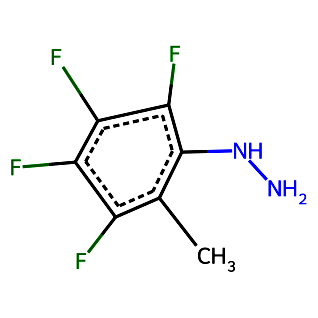 Cc1c(F)c(F)c(F)c(F)c1NN